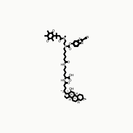 CC1=C(C)C(=O)C(C(C)(C)CC(=O)N(C)CCN(CCCCCC(=O)NCCCCC(NC(=O)CC[C@@H](C)[C@H]2CC[C@H]3[C@@H]4CC[C@@H]5C[C@H](C)CC[C@]5(C)[C@H]4C[C@H](O)[C@]23C)C(=O)O)C(=O)Oc2ccc3nc(C#N)sc3c2)=C(C)C1=O